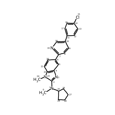 CN(c1nc2cc(-c3ccc(-c4ccc(Cl)cc4)cn3)ccc2n1C)C1CCCC1